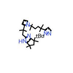 CC1(C)CC(C)(C)c2[nH]c(CC(C)(C)c3cccn3C(C)(C)CCC(C)(C)c3ccnn3C(C)(C)C)nc21